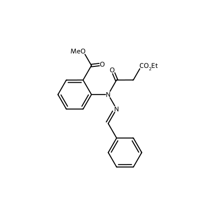 CCOC(=O)CC(=O)N(N=Cc1ccccc1)c1ccccc1C(=O)OC